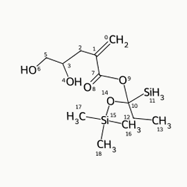 C=C(CC(O)CO)C(=O)OC([SiH3])(CC)O[Si](C)(C)C